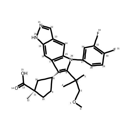 COCC(C)(C)c1c([C@@H]2CC[C@@](C)(C(=O)O)C2)c2cc3[nH]ncc3cc2n1-c1ccc(F)c(F)c1